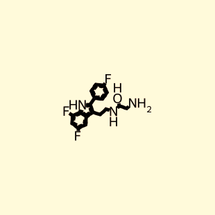 NCC(O)NCCc1c(-c2ccc(F)cc2)[nH]c2c(F)cc(F)cc12